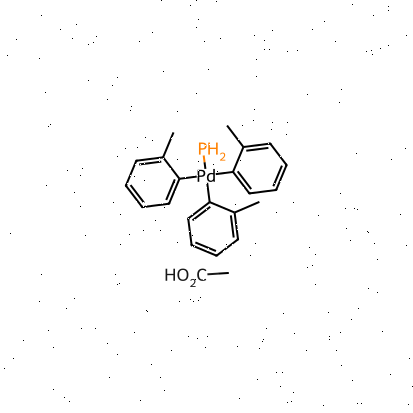 CC(=O)O.Cc1cccc[c]1[Pd]([PH2])([c]1ccccc1C)[c]1ccccc1C